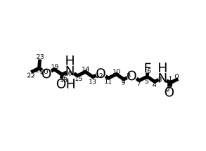 CC(=O)NCC(F)COCCCOCCCNC(O)COC(C)C